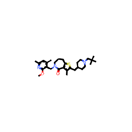 COc1nc(C)cc(C)c1CN1CCCc2sc(CC3CCN(CC(C)(C)C)CC3)c(C)c2C1=O